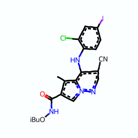 Cc1c(C(=O)NOCC(C)C)cn2ncc(C#N)c(Nc3ccc(I)cc3Cl)c12